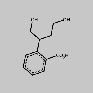 O=C(O)c1ccccc1C(CO)CCO